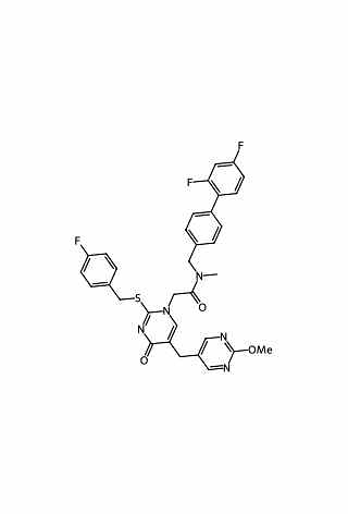 COc1ncc(Cc2cn(CC(=O)N(C)Cc3ccc(-c4ccc(F)cc4F)cc3)c(SCc3ccc(F)cc3)nc2=O)cn1